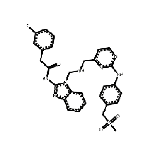 CS(=O)(=O)Cc1ccc(Nc2nccc(CNCn3c(NC(=O)Cc4cccc(F)c4)nc4ccccc43)n2)cc1